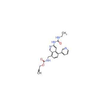 C#CCOC(=O)NCc1ccc(-c2cccnc2)c2cc(NC(=O)NCC)ncc12